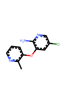 Cc1ncccc1Oc1cc(Cl)cnc1N